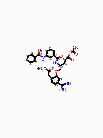 N=C(N)c1ccc(CC(=O)C(=O)O)c(OC[C@@H](CCC(=O)OC(=O)C(F)(F)F)NC(=O)c2cccc(NC(=O)c3ccccc3)c2)c1